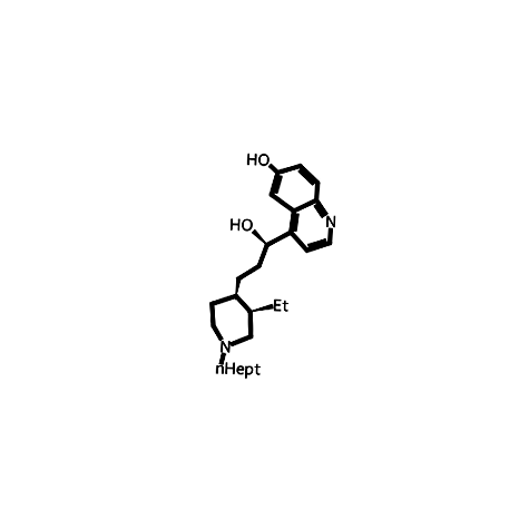 CCCCCCCN1CC[C@@H](CC[C@@H](O)c2ccnc3ccc(O)cc23)[C@@H](CC)C1